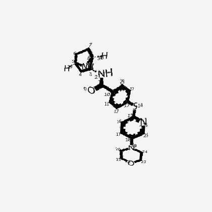 O=C(N[C@@H]1C[C@H]2CC[C@@H]1N2)c1ccc(Sc2ccc(N3CCOCC3)cn2)cc1